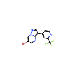 FC(F)(F)c1cc(-c2cnn3cc(Br)cnc23)ccn1